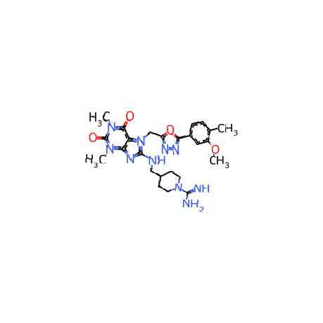 COc1cc(-c2nnc(Cn3c(NCC4CCN(C(=N)N)CC4)nc4c3c(=O)n(C)c(=O)n4C)o2)ccc1C